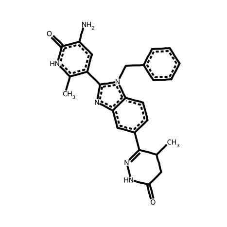 Cc1[nH]c(=O)c(N)cc1-c1nc2cc(C3=NNC(=O)CC3C)ccc2n1Cc1ccccc1